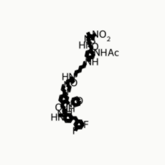 CC(=O)Nc1cc(NCCCCCCNC(=O)CN2CCN(c3ccc(C(=O)Nc4n[nH]c5ccc(Cc6cc(F)cc(F)c6)cc45)c(NC4CCOCC4)c3)CC2)ccc1C(=O)Nc1nc(C)c([N+](=O)[O-])s1